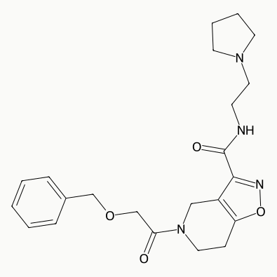 O=C(NCCN1CCCC1)c1noc2c1CN(C(=O)COCc1ccccc1)CC2